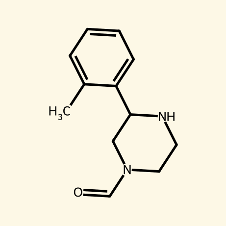 Cc1ccccc1C1CN(C=O)CCN1